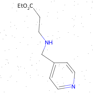 CCOC(=O)CCNCc1ccncc1